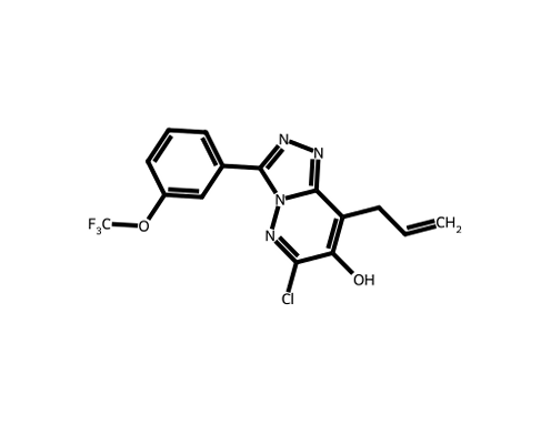 C=CCc1c(O)c(Cl)nn2c(-c3cccc(OC(F)(F)F)c3)nnc12